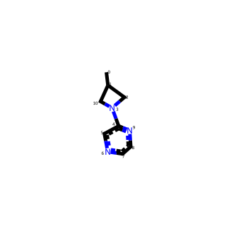 CC1CN(c2cnccn2)C1